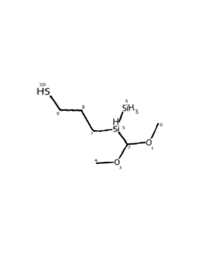 COC(OC)[SiH]([SiH3])CCCS